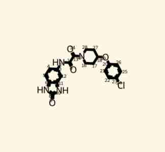 O=C(Nc1ccc2[nH]c(=O)[nH]c2c1)C(=O)N1CCC(Oc2ccc(Cl)cc2)CC1